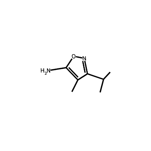 Cc1c(C(C)C)noc1N